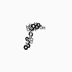 C[C@]12C=C(N3CCN(C(=O)[C@@H]4CCCN4C(=O)c4ccc5ccccc5n4)CC3)C(=O)N[C@@H]1CC[C@@H]1[C@@H]2CC[C@@]2(C)[C@H]1CC[C@]2(C)O